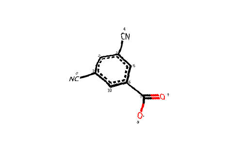 N#Cc1cc(C#N)cc(C([O])=O)c1